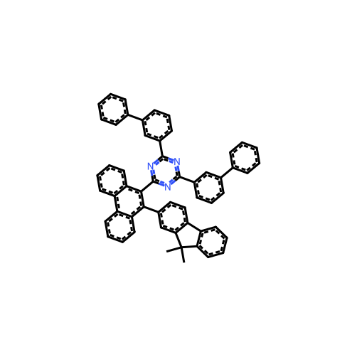 CC1(C)c2ccccc2-c2ccc(-c3c(-c4nc(-c5cccc(-c6ccccc6)c5)nc(-c5cccc(-c6ccccc6)c5)n4)c4ccccc4c4ccccc34)cc21